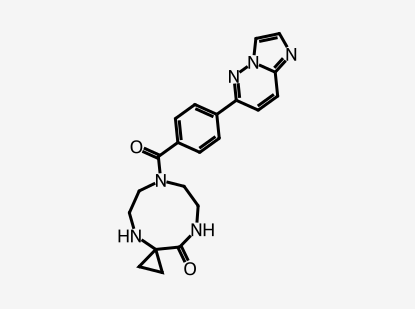 O=C(c1ccc(-c2ccc3nccn3n2)cc1)N1CCNC(=O)C2(CC2)NCC1